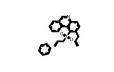 C=CCc1ccc2ncc3ccccc3c2c1S(=O)(=O)CC=C.c1ccccc1